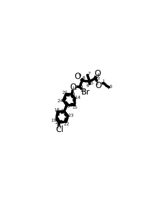 CCOC(=O)C(C)(C)C(=O)C(Br)Oc1ccc(-c2ccc(Cl)cc2)cc1